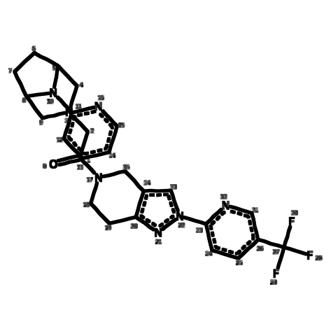 O=C(CN1CC2CCC(C1)N2c1ccccn1)N1CCc2nn(-c3ccc(C(F)(F)F)cn3)cc2C1